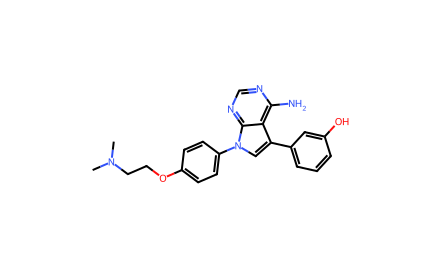 CN(C)CCOc1ccc(-n2cc(-c3cccc(O)c3)c3c(N)ncnc32)cc1